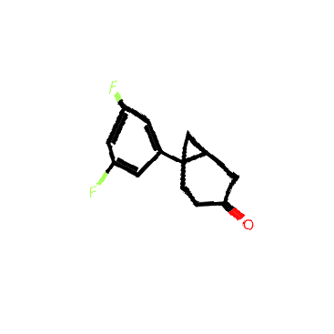 O=C1CCC2(c3cc(F)cc(F)c3)CC2C1